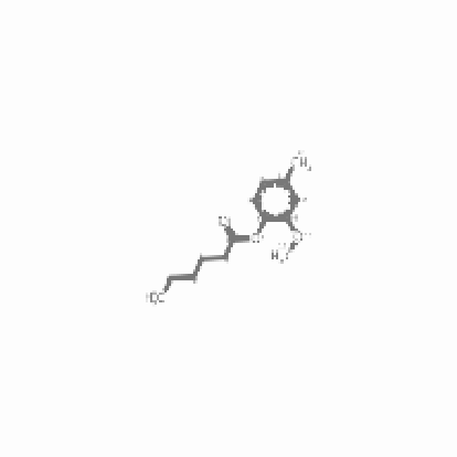 CCCCCC(=O)Oc1ccc(C)cc1OC